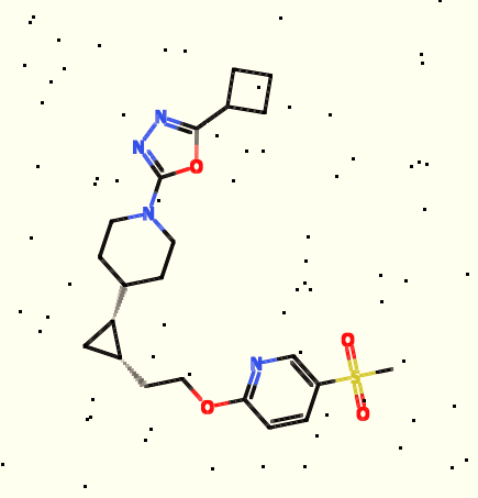 CS(=O)(=O)c1ccc(OCC[C@@H]2C[C@@H]2C2CCN(c3nnc(C4CCC4)o3)CC2)nc1